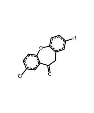 O=C1Cc2cc(Cl)ccc2Oc2ccc(Cl)cc21